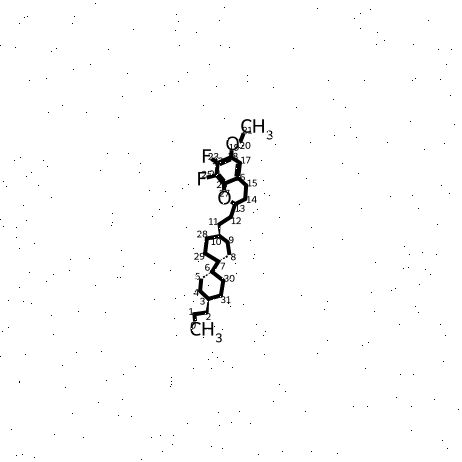 CCC[C@H]1CC[C@H]([C@H]2CC[C@H](CCC3CCc4cc(OCC)c(F)c(F)c4O3)CC2)CC1